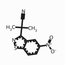 CC(C)(C#N)c1nsc2ccc([N+](=O)[O-])cc12